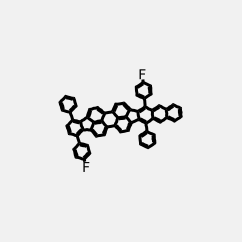 Fc1ccc(-c2ccc(-c3ccccc3)c3c2-c2ccc4c5ccc6c7c(ccc(c8ccc-3c2c48)c75)-c2c-6c(-c3ccccc3)c3cc4ccccc4cc3c2-c2ccc(F)cc2)cc1